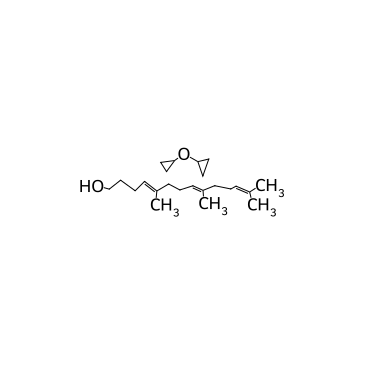 C1CC1OC1CC1.CC(C)=CCC/C(C)=C/CC/C(C)=C/CCCO